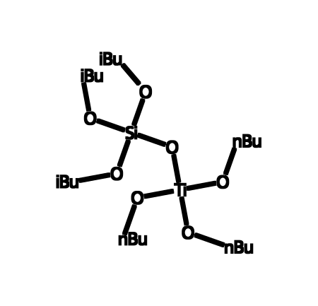 CCCC[O][Ti]([O]CCCC)([O]CCCC)[O][Si](OC(C)CC)(OC(C)CC)OC(C)CC